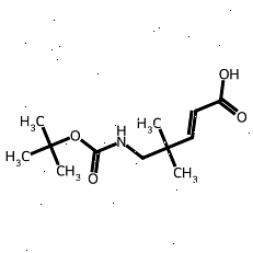 CC(C)(C=CC(=O)O)CNC(=O)OC(C)(C)C